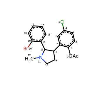 CC(=O)Oc1ccc(Cl)cc1C1CCN(C)C1c1ccccc1Br